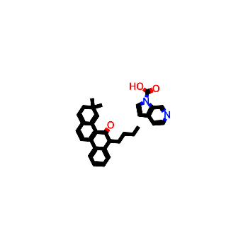 CCCCC1C(=O)c2c(ccc3c2=CC(C)(C)CC=3)-c2ccccc21.O=C(O)n1ccc2ccncc21